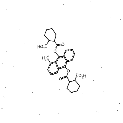 Cc1cccc2c(OC(=O)C3CCCCC3C(=O)O)c3ccccc3c(OC(=O)C3CCCCC3C(=O)O)c12